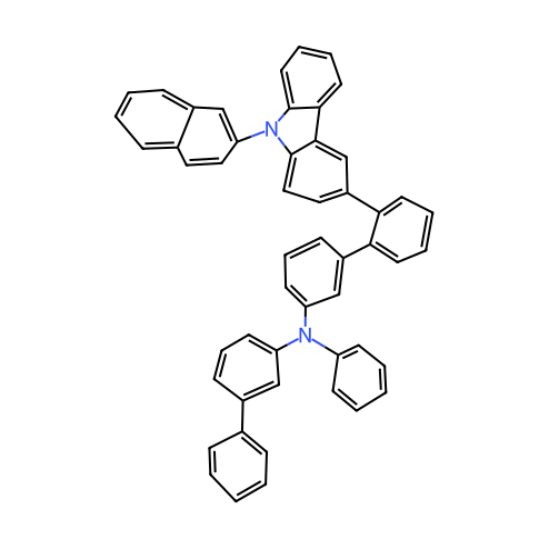 c1ccc(-c2cccc(N(c3ccccc3)c3cccc(-c4ccccc4-c4ccc5c(c4)c4ccccc4n5-c4ccc5ccccc5c4)c3)c2)cc1